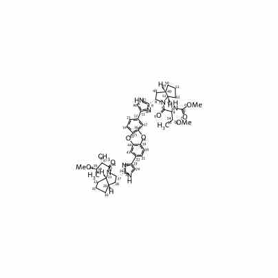 COC(=O)N[C@H](C(=O)N1[C@H](c2nc(-c3ccc4c(c3)Oc3ccc(-c5c[nH]c([C@@H]6C[C@@H]7CCC[C@@H]7N6C(=O)[C@@H](C)[C@@H](C)OC)n5)cc3O4)c[nH]2)C[C@@H]2CCC[C@@H]21)[C@@H](C)OC